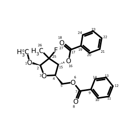 CO[C@@H]1O[C@H](COC(=O)c2ccccc2)[C@@H](OC(=O)c2ccccc2)C1(C)F